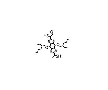 CCCCC(CC)COc1c2c(c(OCC(CC)CCCC)c3c1SC(=C(S)C=O)S3)SC(=C(C)S)S2